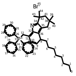 CCCCCCCCC1C=CC(C[P+](c2ccccc2)(c2ccccc2)c2ccccc2)=C2N=C3C(=C21)CC(C)(C)CC3(C)C.[Br-]